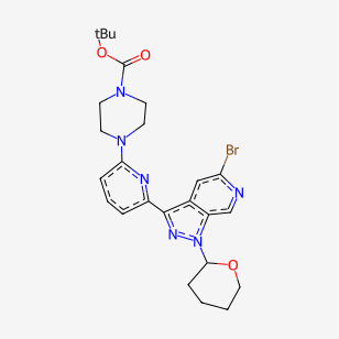 CC(C)(C)OC(=O)N1CCN(c2cccc(-c3nn(C4CCCCO4)c4cnc(Br)cc34)n2)CC1